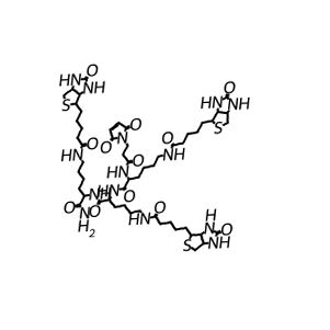 NC(=O)C(CCCCNC(=O)CCCCC1SCC2NC(=O)NC21)NC(=O)C(CCCCNC(=O)CCCCC1SCC2NC(=O)NC21)NC(=O)C(CCCCNC(=O)CCCCC1SCC2NC(=O)NC21)NC(=O)CCN1C(=O)C=CC1=O